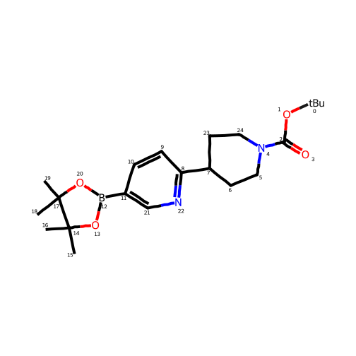 CC(C)(C)OC(=O)N1CCC(c2ccc(B3OC(C)(C)C(C)(C)O3)cn2)CC1